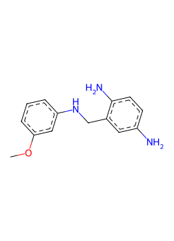 COc1cccc(NCc2cc(N)ccc2N)c1